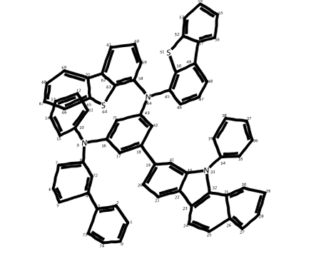 c1ccc(-c2cccc(N(c3ccccc3)c3cc(-c4ccc5c6ccc7ccccc7c6n(-c6ccccc6)c5c4)cc(N(c4cccc5c4sc4ccccc45)c4cccc5c4sc4ccccc45)c3)c2)cc1